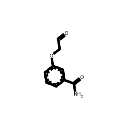 NC(=O)c1cccc(OCC=O)c1